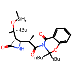 CCCCC1(CCCC)Oc2ccccc2C(=O)N1C(=O)[C@H](C)[C@H]1NC(=O)[C@@H]1[C@@](C)(O[SiH](C)C)C(C)(C)C